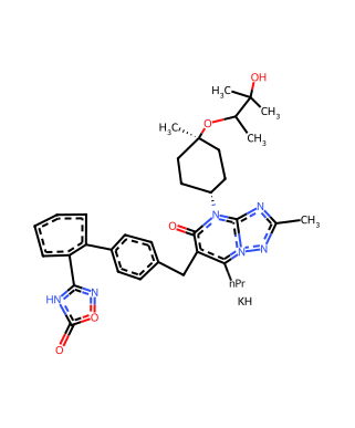 CCCc1c(Cc2ccc(-c3ccccc3-c3noc(=O)[nH]3)cc2)c(=O)n([C@H]2CC[C@](C)(OC(C)C(C)(C)O)CC2)c2nc(C)nn12.[KH]